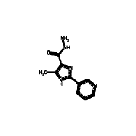 Cc1[nH]c(-c2cccnc2)nc1C(=O)NN